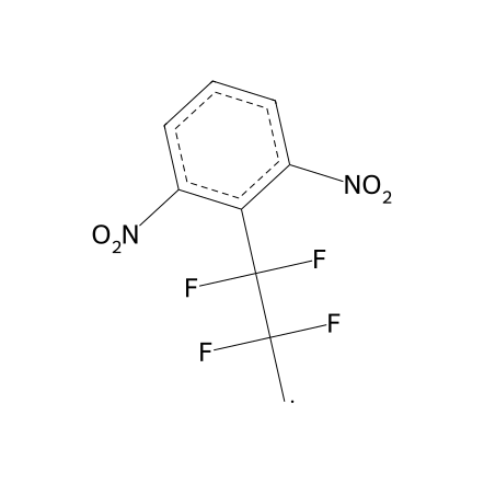 [CH2]C(F)(F)C(F)(F)c1c([N+](=O)[O-])cccc1[N+](=O)[O-]